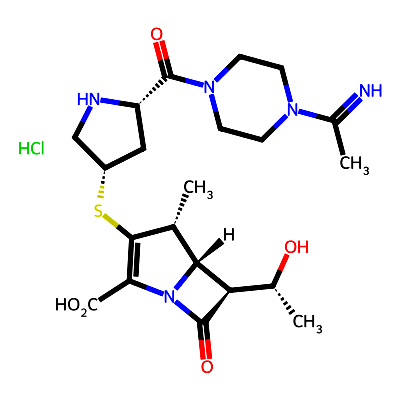 CC(=N)N1CCN(C(=O)[C@@H]2C[C@H](SC3=C(C(=O)O)N4C(=O)[C@H]([C@@H](C)O)[C@H]4[C@H]3C)CN2)CC1.Cl